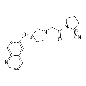 N#C[C@@H]1CCCN1C(=O)CN1CC[C@H](Oc2ccc3ncccc3c2)C1